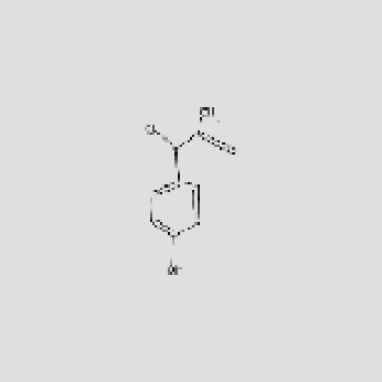 CC(=O)C(Cl)c1ccc(O)cc1